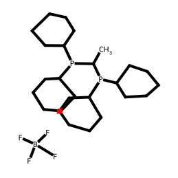 CC(P(C1CCCCC1)C1CCCCC1)P(C1CCCCC1)C1CCCCC1.F[B-](F)(F)F